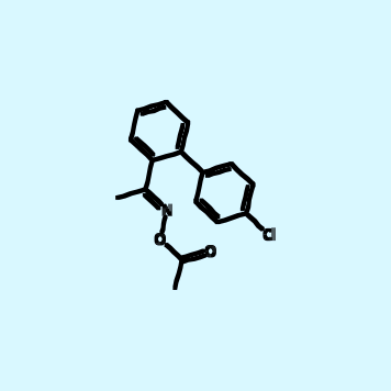 CC(=O)ON=C(C)c1ccccc1-c1ccc(Cl)cc1